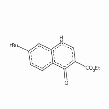 CCOC(=O)c1c[nH]c2cc(C(C)(C)C)ccc2c1=O